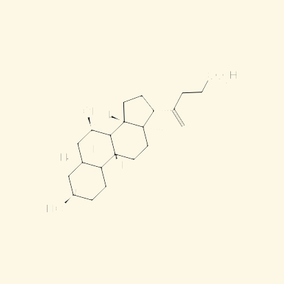 C=C(CCC(=O)O)[C@H]1CC[C@H]2[C@@H]3[C@H](O)C[C@@H]4C[C@H](O)CC[C@]4(C)[C@H]3CC[C@]12C